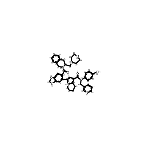 O=C(c1cc(-c2cc3c(cc2C(=O)N2Cc4ccccc4CC2CN2CCOCC2)OCO3)n2c1CCCC2)N(Cc1cccnc1)c1ccc(O)cc1